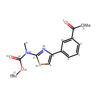 COC(=O)c1cccc(-c2csc(N(C)C(=O)OC(C)(C)C)n2)c1